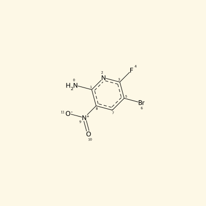 Nc1nc(F)c(Br)cc1[N+](=O)[O-]